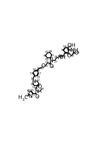 Cc1nc(C(=O)N2CCOC3(CCN(Cc4ccc(CCOCCC(=O)N(CCNCCc5ccc(O)c6c5OCC(=O)N6)C5CCCCC5)cc4)CC3)C2)cs1